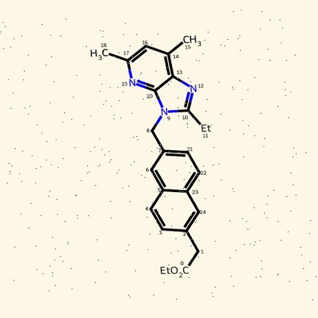 CCOC(=O)Cc1ccc2cc(Cn3c(CC)nc4c(C)cc(C)nc43)ccc2c1